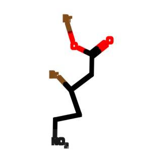 O=C(CC(Br)CC[N+](=O)[O-])OBr